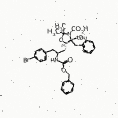 CC1(C)O[C@@H](CC(Cc2ccc(Br)cc2)NC(=O)OCc2ccccc2)[C@](Cc2ccccc2)(C(C)(C)C)N1C(=O)O